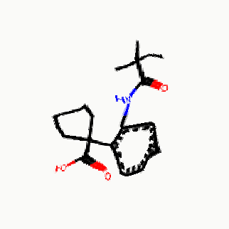 CC(C)(C)C(=O)Nc1ccccc1C1(C(=O)O)CCCC1